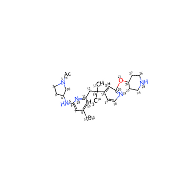 CC(=O)N1CCC(Nc2cc(C(C)(C)C)cc(CC(C)(C)c3ccnc(OC4CCNCC4)c3)n2)C1